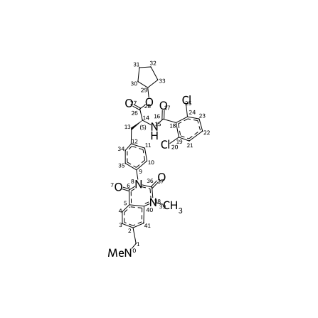 CNCc1ccc2c(=O)n(-c3ccc(C[C@H](NC(=O)c4c(Cl)cccc4Cl)C(=O)OC4CCCC4)cc3)c(=O)n(C)c2c1